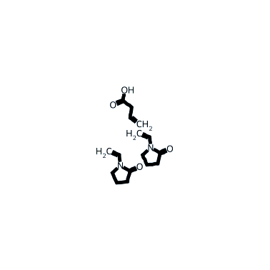 C=CCC(=O)O.C=CN1CCCC1=O.C=CN1CCCC1=O